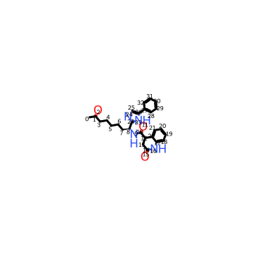 CC(=O)CCCCC[C@H](NC(=O)C1CC(=O)Nc2ccccc21)c1ncc(-c2ccccc2)[nH]1